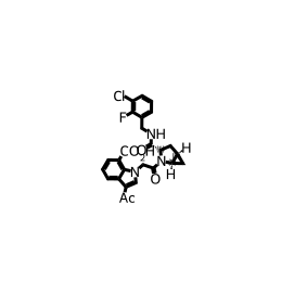 CC(=O)c1cn(CC(=O)N2[C@@H]3C[C@@H]3C[C@H]2C(=O)NCc2cccc(Cl)c2F)c2c(C(=O)O)cccc12